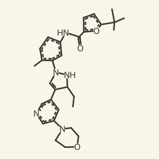 CCC1NN(c2cc(NC(=O)c3ccc(C(C)(C)C)o3)ccc2C)C=C1c1cncc(N2CCOCC2)c1